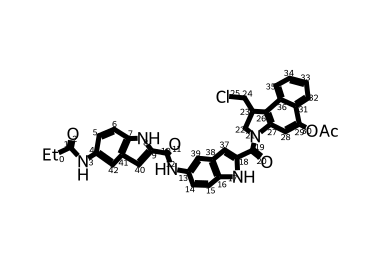 CCC(=O)Nc1ccc2[nH]c(C(=O)Nc3ccc4[nH]c(C(=O)N5CC(CCl)c6c5cc(OC(C)=O)c5ccccc65)cc4c3)cc2c1